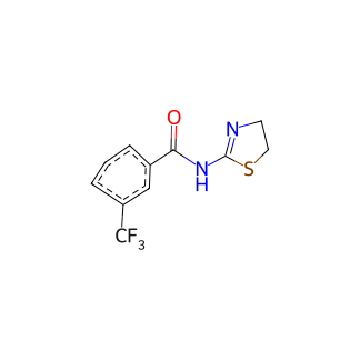 O=C(NC1=NCCS1)c1cccc(C(F)(F)F)c1